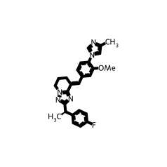 COc1cc(C=C2CCCn3nc([C@H](C)c4ccc(F)cc4)nc32)ccc1-n1cnc(C)c1